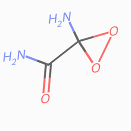 NC(=O)C1(N)OO1